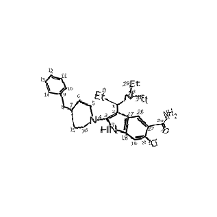 CCC(c1c(N2CCC(Cc3ccccc3)CC2)[nH]c2cc(Cl)c(C(N)=O)cc12)N(CC)CC